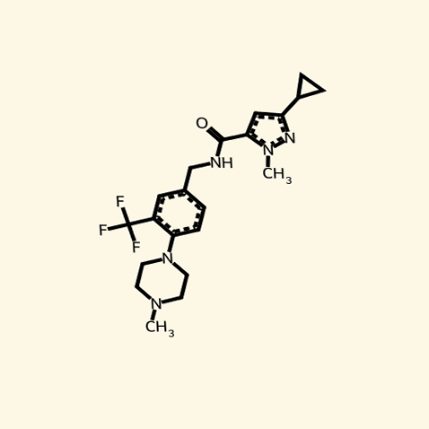 CN1CCN(c2ccc(CNC(=O)c3cc(C4CC4)nn3C)cc2C(F)(F)F)CC1